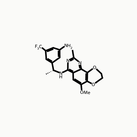 COc1cc2c(N[C@H](C)c3cc(N)cc(C(F)(F)F)c3)nc(C)nc2c2c1OCCO2